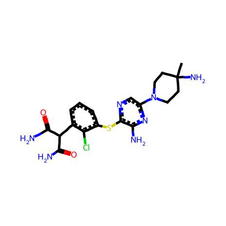 CC1(N)CCN(c2cnc(Sc3cccc(C(C(N)=O)C(N)=O)c3Cl)c(N)n2)CC1